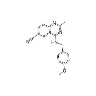 COc1ccc(CNc2nc(C)nc3ccc(C#N)cc23)cc1